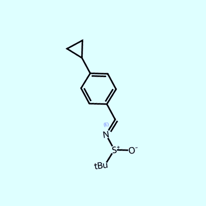 CC(C)(C)[S+]([O-])/N=C/c1ccc(C2CC2)cc1